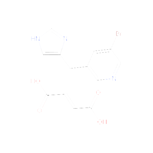 Brc1cncc(Cc2c[nH]cn2)c1.O=C(O)/C=C/C(=O)O